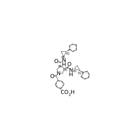 O=C(O)c1ccc(C(=O)N2C[C@H](C(=O)N[C@@H]3C[C@H]3c3ccccc3)[C@@H](C(=O)N[C@@H]3C[C@H]3c3ccccc3)C2)cc1